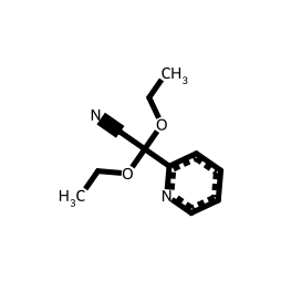 CCOC(C#N)(OCC)c1ccccn1